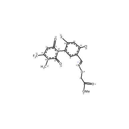 COC(=O)CO/N=C/c1cc(-n2c(=O)cc(C(F)(F)F)n(C)c2=O)c(F)cc1Cl